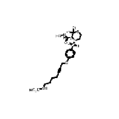 CCC1(CC)SCCN(S(=O)(=O)c2ccc(OCC#CCCCCNC(=O)O)cc2)[C@H]1C(=O)NO